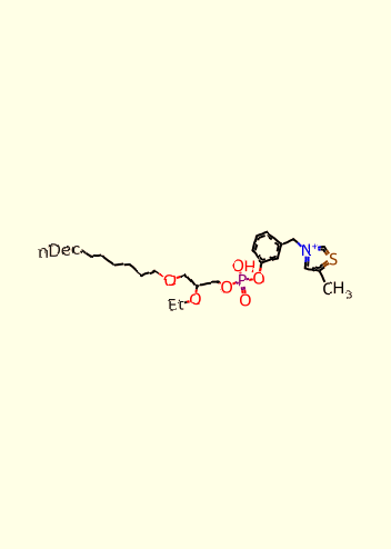 CCCCCCCCCCCCCCCCOCC(COP(=O)(O)Oc1cccc(C[n+]2csc(C)c2)c1)OCC